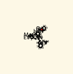 CCn1cc(Cn2c(-c3cc4ccccc4n3CC3CC3)nc3cc(C(=O)N4CC5CCC4C5N)cc(OC)c32)cn1